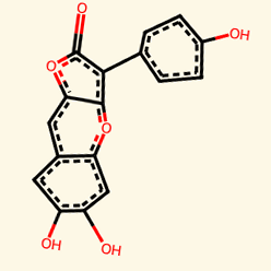 O=c1oc2cc3cc(O)c(O)cc3oc-2c1-c1ccc(O)cc1